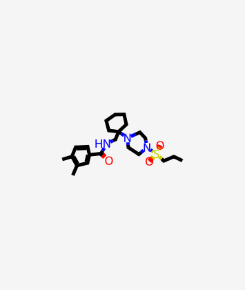 CCCS(=O)(=O)N1CCN(C2(CNC(=O)c3ccc(C)c(C)c3)CCCCC2)CC1